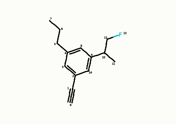 C#Cc1cc(CCC)cc([C](C)CF)c1